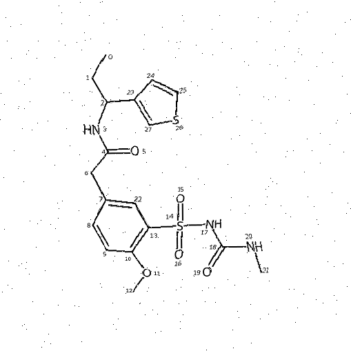 CCC(NC(=O)Cc1ccc(OC)c(S(=O)(=O)NC(=O)NC)c1)c1ccsc1